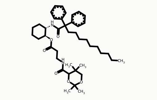 CCCCCCCCCCC(C(=O)N[C@H]1CCCC[C@@H]1OC(=O)CCNC(=O)C1OC(C)(C)OCC1(C)C)(c1ccccc1)c1ccccc1